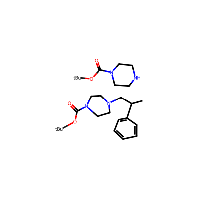 CC(C)(C)OC(=O)N1CCNCC1.CC(CN1CCN(C(=O)OC(C)(C)C)CC1)c1ccccc1